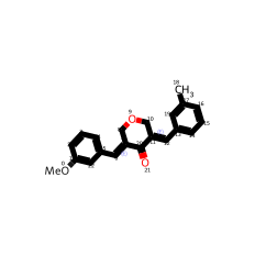 COc1cccc(/C=C2\COC/C(=C\c3cccc(C)c3)C2=O)c1